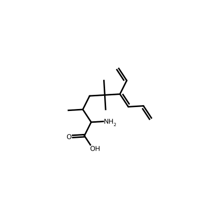 C=C/C=C(\C=C)C(C)(C)CC(C)C(N)C(=O)O